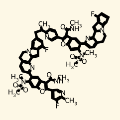 CNC(=O)c1c(-c2ccc(C(C)Cc3cc(F)c4cc5n(c4c3)CCc3ccc(-c4cc6c(C(=O)NC)c(-c7cnc(C)c(F)c7)oc6cc4N(C)S(C)(=O)=O)nc3-5)nc2)oc2cc(N(C)S(C)(=O)=O)c(-c3ccc4c(n3)-c3cc5c(F)cccc5n3CC4)cc12